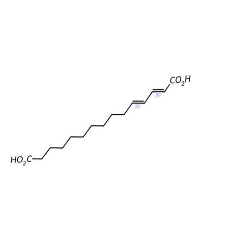 O=C(O)/C=C/C=C/CCCCCCCCCC(=O)O